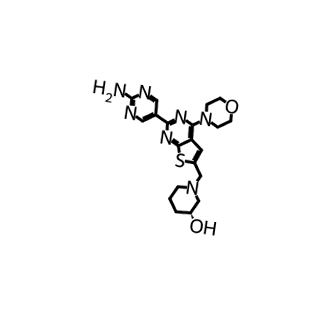 Nc1ncc(-c2nc(N3CCOCC3)c3cc(CN4CCC[C@@H](O)C4)sc3n2)cn1